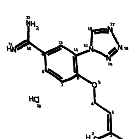 CC(C)=CCOc1ccc(C(=N)N)cc1-n1cnnn1.Cl